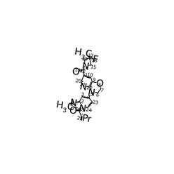 C/N=c1/cc(N2CCOc3cc(C(=O)N4CC(C)(F)C4)cnc32)ccn1C(=O)C(C)C